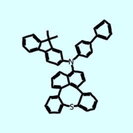 CC1(C)c2ccccc2-c2ccc(N(c3ccc(-c4ccccc4)cc3)c3ccc4c5c(cccc35)-c3ccccc3Sc3ccccc3-4)cc21